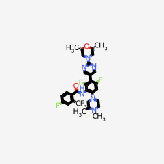 CC1CN(c2cc(F)c(-c3cnc(N4C[C@@H](C)O[C@@H](C)C4)nc3)c(F)c2NC(=O)c2ccc(F)cc2C(F)(F)F)CCN1C